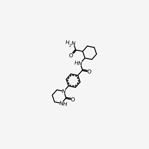 NC(=O)C1CCCCC1NC(=O)c1ccc(N2CCCNC2=O)cc1